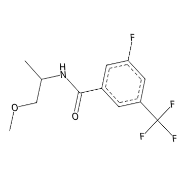 COCC(C)NC(=O)c1cc(F)cc(C(F)(F)F)c1